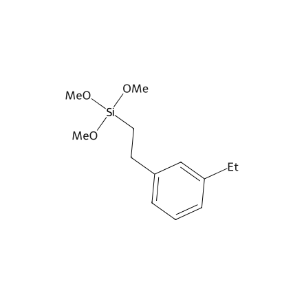 CCc1cccc(CC[Si](OC)(OC)OC)c1